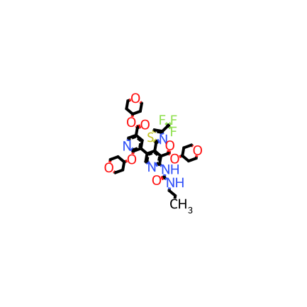 CCCNC(=O)Nc1ncc(-c2cc(C(=O)OC3CCOCC3)cnc2OC2CCOCC2)c(-c2nc(C(F)(F)F)cs2)c1C(=O)OC1CCOCC1